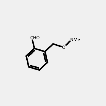 CNOCc1ccccc1C=O